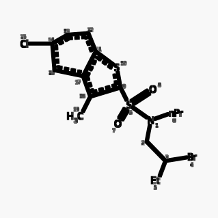 CCCN(CC(Br)CC)S(=O)(=O)c1sc2ccc(Cl)cc2c1C